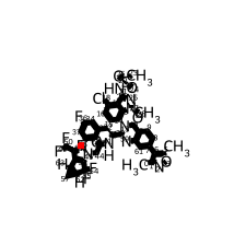 Cc1noc(C)c1-c1ccc2c(=O)n(-c3ccc(Cl)c4c(NS(C)(=O)=O)nn(C)c34)c([C@H](Cc3cc(F)cc(F)c3)NC(=O)Cn3nc(C(F)F)c4c3C(F)(F)[C@@H]3C[C@H]43)nc2c1